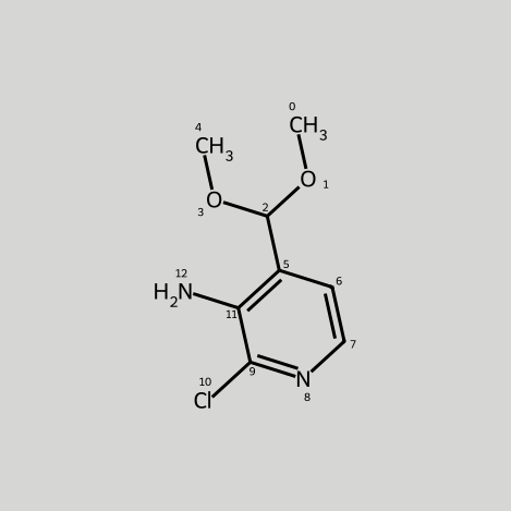 COC(OC)c1ccnc(Cl)c1N